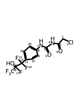 O=C(CCl)NC(=O)Nc1ccc(C(F)(F)C(O)(F)C(F)(F)F)cc1